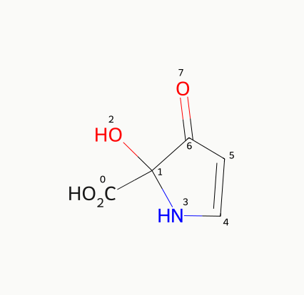 O=C(O)C1(O)NC=CC1=O